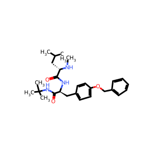 CN[C@@H](CC(C)C)C(=O)N[C@@H](Cc1ccc(OCc2ccccc2)cc1)C(=O)NC(C)(C)C